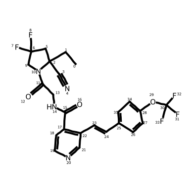 CCC1(C#N)CC(F)(F)CN1C(=O)CNC(=O)c1ccncc1C=Cc1ccc(OC(F)(F)F)cc1